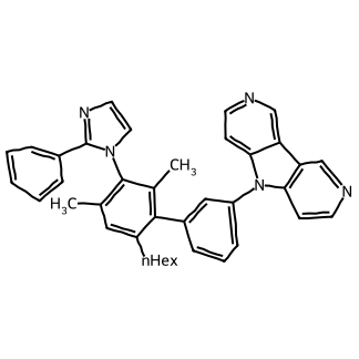 CCCCCCc1cc(C)c(-n2ccnc2-c2ccccc2)c(C)c1-c1cccc(-n2c3ccncc3c3cnccc32)c1